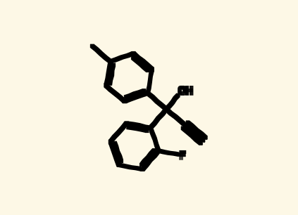 C#CC(O)(c1ccc(C)cc1)c1ccccc1F